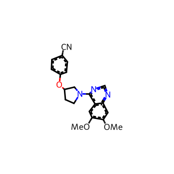 COc1cc2ncnc(N3CCC(Oc4ccc(C#N)cc4)C3)c2cc1OC